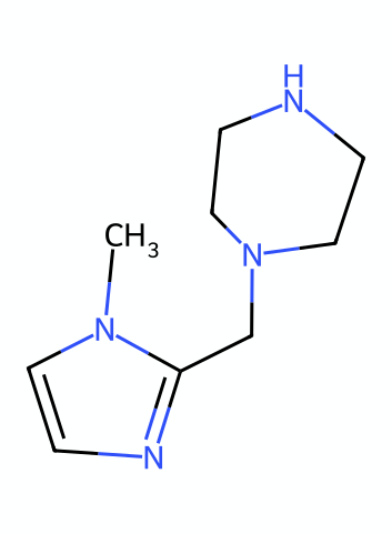 Cn1ccnc1CN1CCNCC1